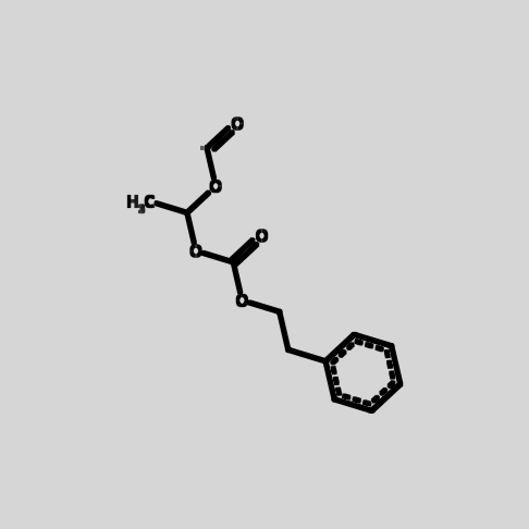 CC(O[C]=O)OC(=O)OCCc1ccccc1